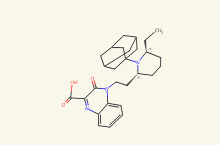 CC[C@H]1CCC[C@@H](CCn2c(=O)c(C(=O)O)nc3ccccc32)N1C12CC3CC(CC(C3)C1)C2